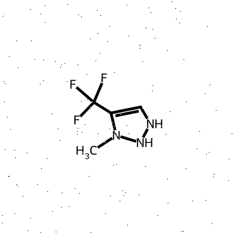 CN1NNC=C1C(F)(F)F